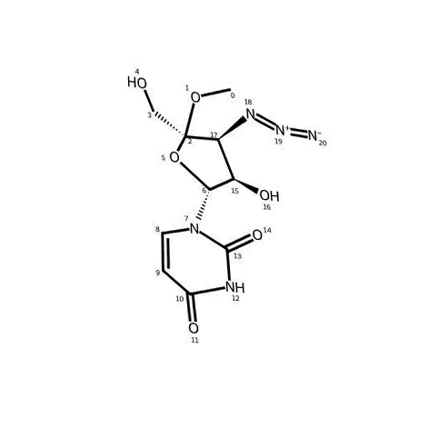 CO[C@]1(CO)O[C@@H](n2ccc(=O)[nH]c2=O)[C@H](O)[C@@H]1N=[N+]=[N-]